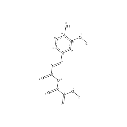 C=C(OC)C(=O)OC(=O)C=Cc1ccc(O)c(OC)c1